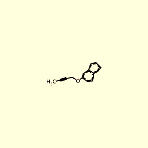 CC#CCOc1ccc2ccccc2c1